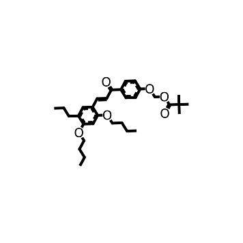 CCCCOc1cc(OCCCC)c(CCC)cc1C=CC(=O)c1ccc(OCOC(=O)C(C)(C)C)cc1